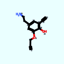 C#CCOc1cc(CCN)cc(C#C)c1O